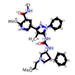 CCNC(=O)c1cc(-c2nn(-c3ccccc3)c(NC(=O)N[C@@H]3CN(CCOC)C[C@H]3c3ccccc3)c2C)cnc1OC